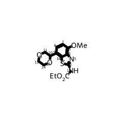 CCOC(=O)Nc1nc2c(OC)ccc(C3COCCO3)c2s1